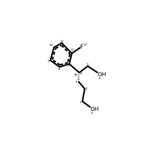 OCCC[C@@H](CO)c1ccccc1F